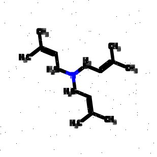 CC(C)=C[SiH2]N([SiH2]C=C(C)C)[SiH2]C=C(C)C